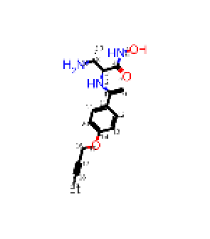 C=C(N[C@H](C(=O)NO)[C@@H](C)N)c1ccc(OCC#CCC)cc1